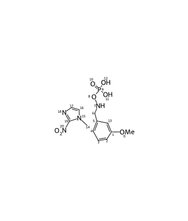 COc1cccc(CNOP(=O)(O)O)c1.Cn1ccnc1[N+](=O)[O-]